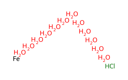 Cl.O.O.O.O.O.O.O.O.O.O.O.O.[Fe]